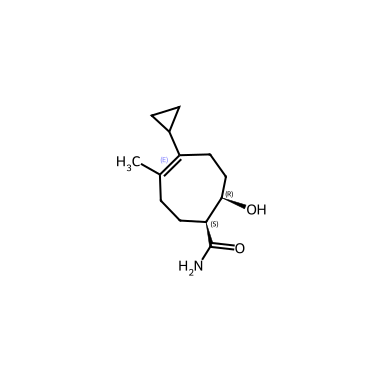 C/C1=C(\C2CC2)CC[C@@H](O)[C@@H](C(N)=O)CC1